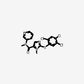 CN(C(=O)c1cnc(Sc2cc(Cl)c(Cl)cc2Cl)n1C)c1cccnc1